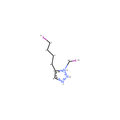 ICCCCc1cnnn1CI